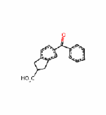 O=C(c1ccccc1)c1ccc2c(c1)CC(C(=O)O)C2